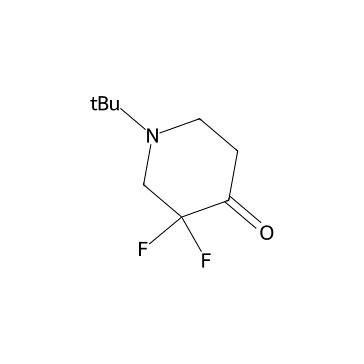 CC(C)(C)N1CCC(=O)C(F)(F)C1